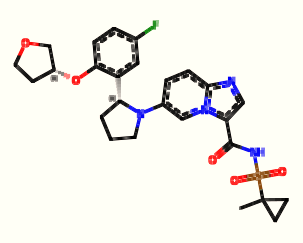 CC1(S(=O)(=O)NC(=O)c2cnc3ccc(N4CCC[C@@H]4c4cc(F)ccc4O[C@@H]4CCOC4)cn23)CC1